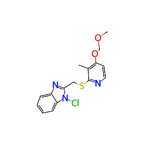 COCOc1ccnc(SCc2nc3ccccc3n2Cl)c1C